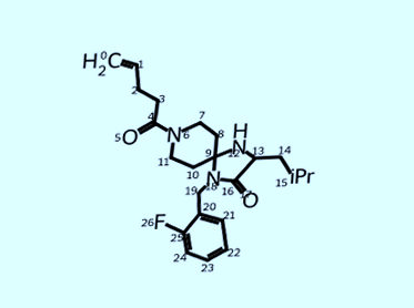 C=CCCC(=O)N1CCC2(CC1)NC(CC(C)C)C(=O)N2Cc1ccccc1F